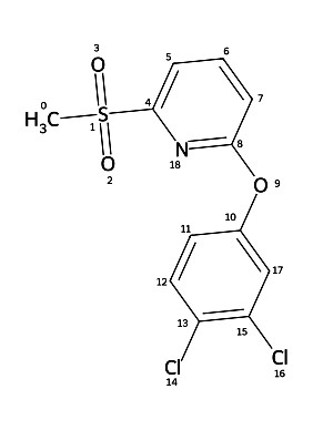 CS(=O)(=O)c1cccc(Oc2ccc(Cl)c(Cl)c2)n1